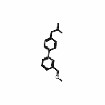 COCc1cccc(-c2ccc(CC(C)C)cc2)c1